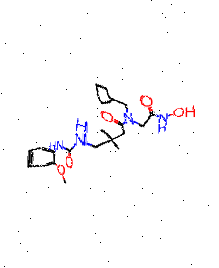 COc1ccccc1NC(=O)NCC(C)(C)CC(=O)N(CC(=O)NO)CC1CCC1